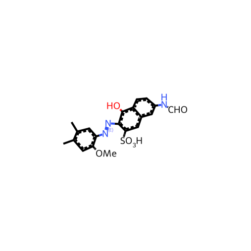 COc1cc(C)c(C)cc1/N=N/c1c(S(=O)(=O)O)cc2cc(NC=O)ccc2c1O